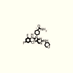 C[C@]1(C(N)=O)CC[C@H](n2c(Nc3c(F)cc(F)cc3Cl)nc3cnc(NC4CCOCC4)nc32)CC1